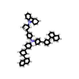 C1=Cc2c(c3ccccc3n2-c2cccc(-c3ccc(N(c4ccc(-c5cccc(-c6cccc7ccccc67)c5)cc4)c4ccc(-c5cccc(-c6cccc7ccccc67)c5)cc4)cc3)c2)CC1